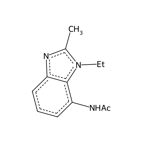 CCn1c(C)nc2cccc(NC(C)=O)c21